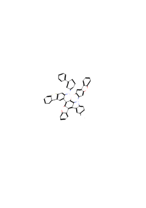 CC(C)(C)c1ccc2c(c1)c1c3c(oc4ccccc43)c3c4c1n2-c1cc2oc5ccccc5c2cc1B4N(c1cccc(-c2ccccc2)c1)c1cc2sc4ccccc4c2cc1-3